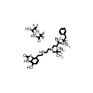 CC(C)(C)CN(CCNCCc1ccc(O)c2[nH]c(=O)sc12)CCC(=O)NC(C)(C)Cc1ccccc1.O=C(O)C(F)(F)F.O=C(O)C(F)(F)F